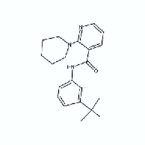 CC(C)(C)c1[c]ccc(NC(=O)c2cccnc2N2CCCCC2)c1